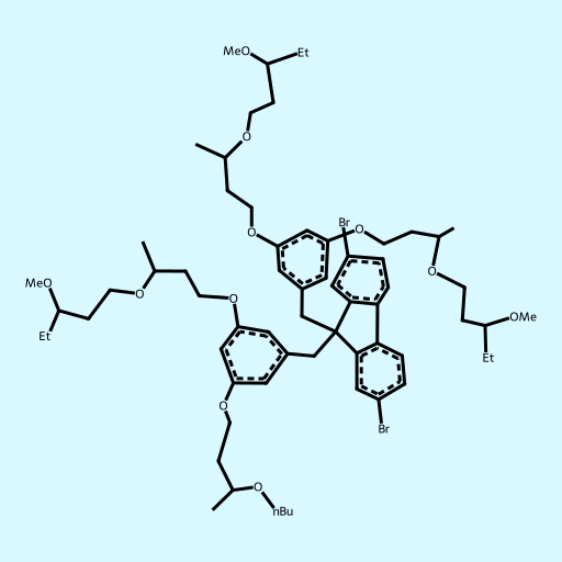 CCCCOC(C)CCOc1cc(CC2(Cc3cc(OCCC(C)OCCC(CC)OC)cc(OCCC(C)OCCC(CC)OC)c3)c3cc(Br)ccc3-c3ccc(Br)cc32)cc(OCCC(C)OCCC(CC)OC)c1